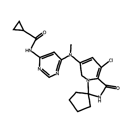 CN(C1=CC(Cl)=C2C(=O)NC3(CCCC3)N2C1)c1cc(NC(=O)C2CC2)ncn1